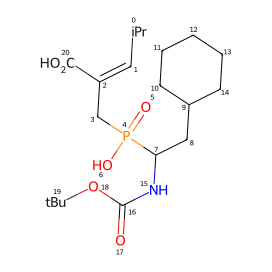 CC(C)C=C(CP(=O)(O)C(CC1CCCCC1)NC(=O)OC(C)(C)C)C(=O)O